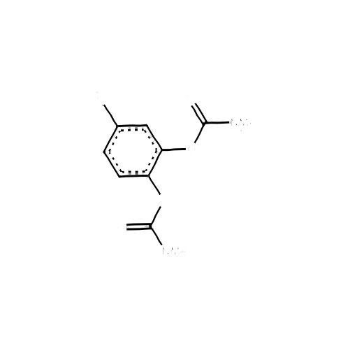 CNC(=O)Oc1ccc(Cl)cc1OC(=S)NC